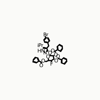 CC(C)c1[nH]nc(OC2OC(COC(=O)c3ccccc3)C(F)C(OC(=O)c3ccccc3)C2OC(=O)c2ccccc2)c1Cc1ccc(Br)cc1